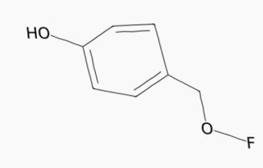 Oc1ccc(COF)cc1